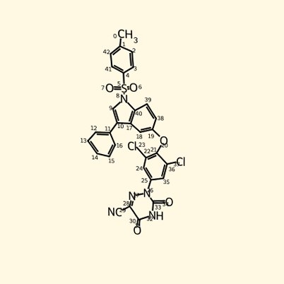 Cc1ccc(S(=O)(=O)n2cc(-c3ccccc3)c3cc(Oc4c(Cl)cc(-n5nc(C#N)c(=O)[nH]c5=O)cc4Cl)ccc32)cc1